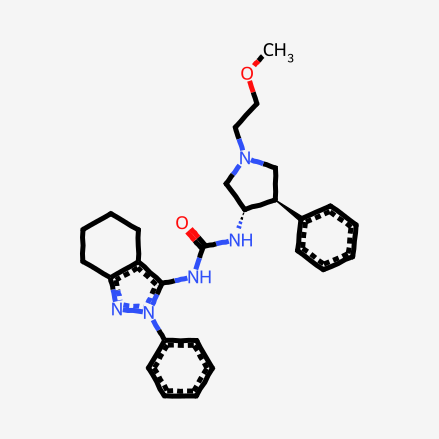 COCCN1C[C@@H](NC(=O)Nc2c3c(nn2-c2ccccc2)CCCC3)[C@H](c2ccccc2)C1